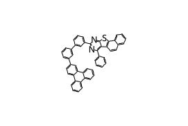 c1ccc(-c2nc(-c3cccc(-c4cccc(-c5ccc6c7ccccc7c7ccccc7c6c5)c4)c3)nc3sc4c5ccccc5ccc4c23)cc1